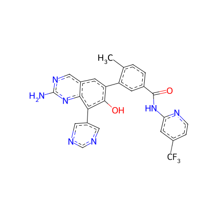 Cc1ccc(C(=O)Nc2cc(C(F)(F)F)ccn2)cc1-c1cc2cnc(N)nc2c(-c2cncnc2)c1O